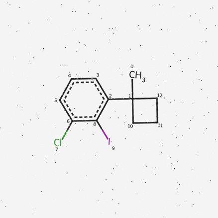 CC1(c2cccc(Cl)c2I)CCC1